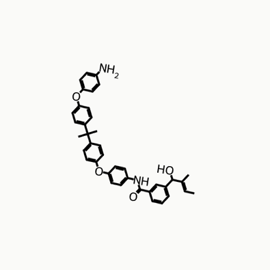 CC=C(C)C(O)c1cccc(C(=O)Nc2ccc(Oc3ccc(C(C)(C)c4ccc(Oc5ccc(N)cc5)cc4)cc3)cc2)c1